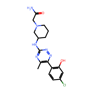 Cc1nc(NC2CCCN(CC(N)=O)C2)nnc1-c1ccc(Cl)cc1O